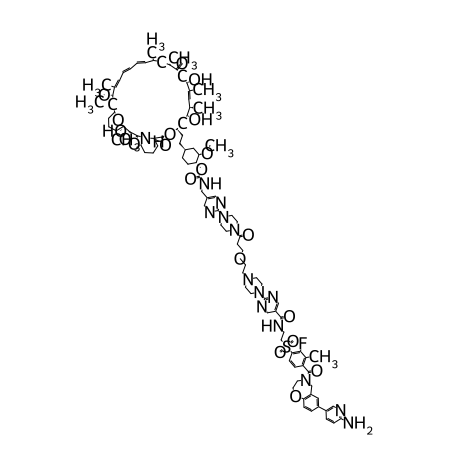 CO[C@H]1CC2CC[C@@H](C)[C@@](O)(O2)C(=O)C(=O)N2CCCC[C@H]2C(=O)O[C@H](CC[C@@H]2CC[C@@H](OC(=O)NCc3cnc(N4CCN(C(=O)CCOCCN5CCN(c6ncc(C(=O)NCCS(=O)(=O)c7ccc(C(=O)N8CCOc9ccc(-c%10ccc(N)nc%10)cc9C8)c(C)c7F)cn6)CC5)CC4)nc3)[C@H](OC)C2)C[C@@H](O)[C@H](C)/C=C(\C)[C@@H](O)CC(=O)[C@H](C)C[C@H](C)/C=C/C=C/C=C/1C